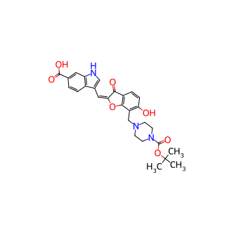 CC(C)(C)OC(=O)N1CCN(Cc2c(O)ccc3c2OC(=Cc2c[nH]c4cc(C(=O)O)ccc24)C3=O)CC1